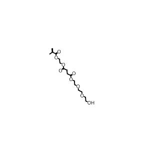 C=C(C)C(=O)OCCOC(=O)CCC(=O)OCCOCCOCCO